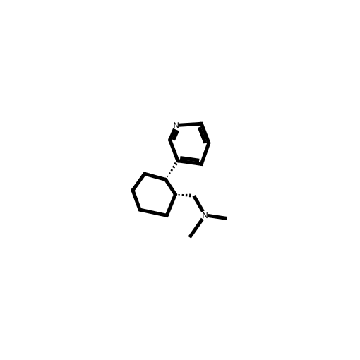 CN(C)C[C@@H]1CCCC[C@@H]1c1cccnc1